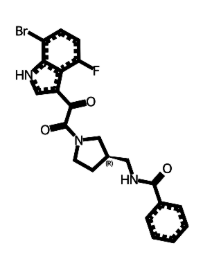 O=C(NC[C@H]1CCN(C(=O)C(=O)c2c[nH]c3c(Br)ccc(F)c23)C1)c1ccccc1